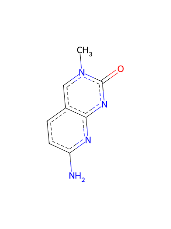 Cn1cc2ccc(N)nc2nc1=O